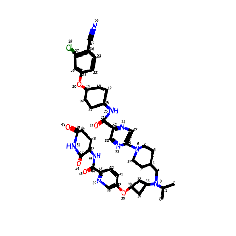 CC(C)N(CC1CCN(c2cnc(C(=O)NC3CCC(Oc4ccc(C#N)c(Cl)c4)CC3)cn2)CC1)C1CC(Oc2ccc(C(=O)NC3CCC(=O)NC3=O)nc2)C1